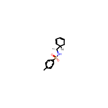 [2H]C1([C@@H](C)NS(=O)(=O)c2ccc(C)cc2)C=CC=CC1